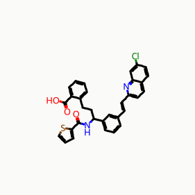 O=C(NC(CCc1ccccc1C(=O)O)c1cccc(/C=C/c2ccc3ccc(Cl)cc3n2)c1)c1cccs1